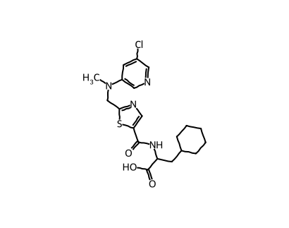 CN(Cc1ncc(C(=O)NC(CC2CCCCC2)C(=O)O)s1)c1cncc(Cl)c1